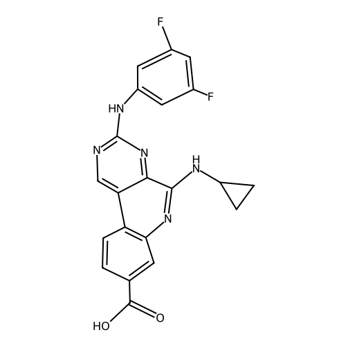 O=C(O)c1ccc2c(c1)nc(NC1CC1)c1nc(Nc3cc(F)cc(F)c3)ncc12